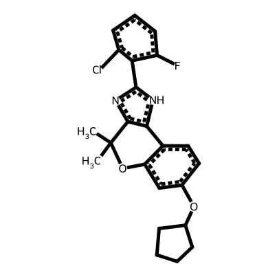 CC1(C)Oc2cc(OC3CCCC3)ccc2-c2[nH]c(-c3c(F)cccc3Cl)nc21